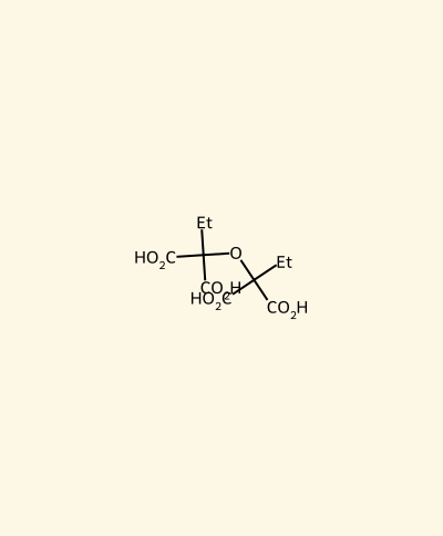 CCC(OC(CC)(C(=O)O)C(=O)O)(C(=O)O)C(=O)O